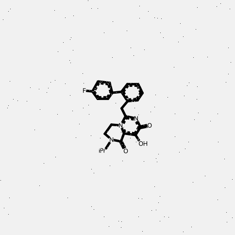 CC(C)N1CCn2c(Cc3ccccc3-c3ccc(F)cc3)nc(=O)c(O)c2C1=O